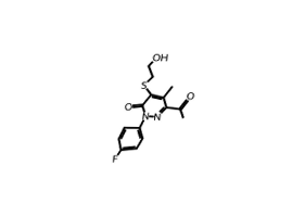 CC(=O)c1nn(-c2ccc(F)cc2)c(=O)c(SCCO)c1C